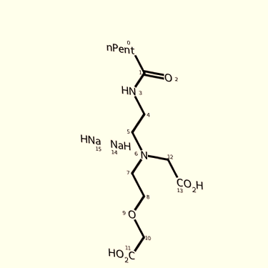 CCCCCC(=O)NCCN(CCOCC(=O)O)CC(=O)O.[NaH].[NaH]